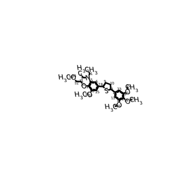 CCN(CC)c1cc(C2CCC(c3cc(OC)c(OC)c(OC)c3)S2)cc(OC)c1OCCOC